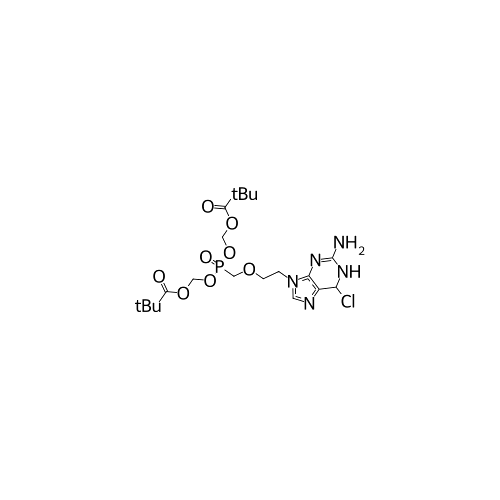 CC(C)(C)C(=O)OCOP(=O)(COCCn1cnc2c1N=C(N)NC2Cl)OCOC(=O)C(C)(C)C